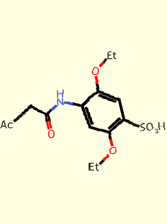 CCOc1cc(S(=O)(=O)O)c(OCC)cc1NC(=O)CC(C)=O